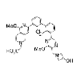 COc1nc(-c2cccc(-c3cccc(-c4cc5c(c(OC)n4)CCN(CC(=O)O)C5)c3Cl)c2Cl)cnc1CN1CC(O)C1